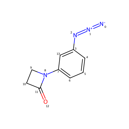 [N-]=[N+]=Nc1cccc(N2CCC2=O)c1